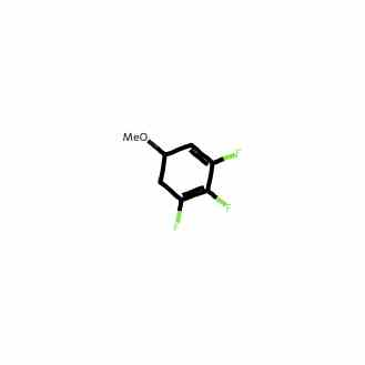 COC1C=C(F)C(F)=C(F)C1